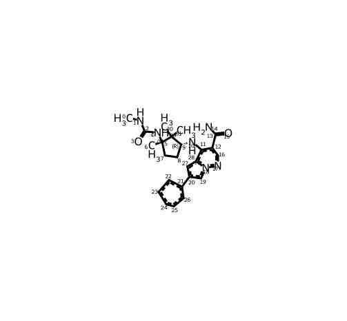 CNC(=O)N[C@@]1(C)CC[C@@H](Nc2c(C(N)=O)cnn3cc(-c4ccccc4)cc23)C1(C)C